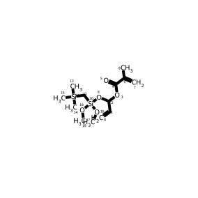 C=CC(OC(=O)C(=C)C)O[Si](C[Si](C)(C)C)(OC)OC